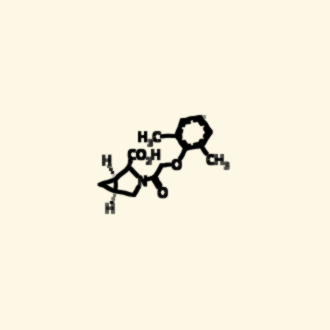 Cc1c[c]cc(C)c1OCC(=O)N1C[C@H]2C[C@H]2[C@H]1C(=O)O